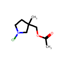 CC(=O)OCC1(C)CCN(Cl)C1